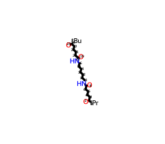 CC(C)C(=O)CCCCC(=O)NCCCCCCCNC(=O)CCCCC(=O)C(C)(C)C